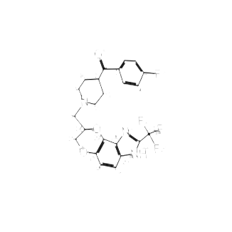 O=C(c1ccc(F)cc1)C1CCN(CC2COc3ccc4[nH]c(C(F)(F)F)nc4c3O2)CC1